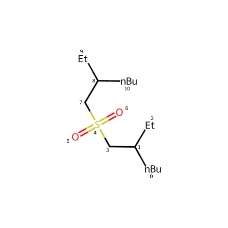 CCCCC(CC)CS(=O)(=O)CC(CC)CCCC